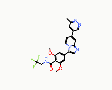 COc1cc(-c2cnc3cc(-c4cnnc(C)c4)ccn23)cc(OC)c1C(=O)NCC(F)(F)F